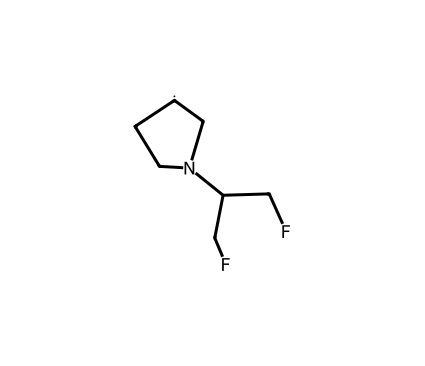 FCC(CF)N1C[CH]CC1